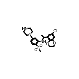 CC(Nc1cc(N2CCNCC2)ccc1S(C)(=O)=O)c1cc(Cl)cc2c1OCCO2